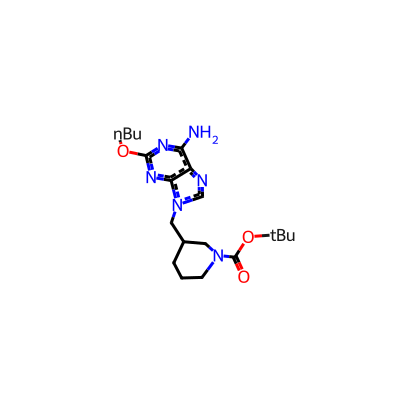 CCCCOc1nc(N)c2ncn(CC3CCCN(C(=O)OC(C)(C)C)C3)c2n1